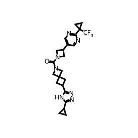 O=C(N1CC(c2cnc(C3(C(F)(F)F)CC3)nc2)C1)N1CC2(CC(c3nnc(C4CC4)[nH]3)C2)C1